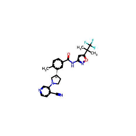 Cc1ccc(C(=O)Nc2cc(C(C)(C)C(F)(F)F)on2)cc1[C@@H]1CCN(c2cnccc2C#N)C1